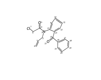 C=CCN(C(=O)CCl)c1ccccc1C(=O)c1ccccc1